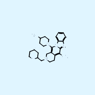 N#Cc1c2c(c(N3CCC(C#N)CC3)n3c1nc1ccccc13)CN(CC1CCCCO1)CC2